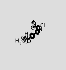 CS(=O)(=O)NC(=O)c1ccc(-c2ccc3nc(Cl)cc(C(=O)N4CCC4)c3c2)cc1